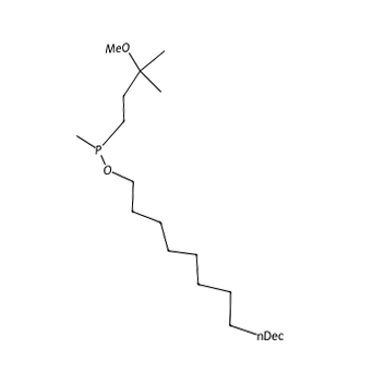 CCCCCCCCCCCCCCCCCCOP(C)CCC(C)(C)OC